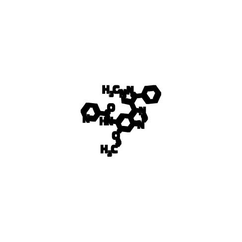 CCOc1cc2ncnc(-c3cn(C)nc3-c3ccccc3)c2cc1NC(=O)c1cccnc1